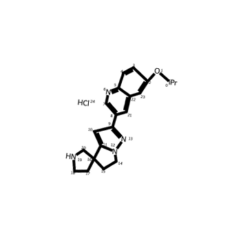 CC(C)Oc1ccc2ncc(-c3cc4n(n3)CCC43CCNC3)cc2c1.Cl